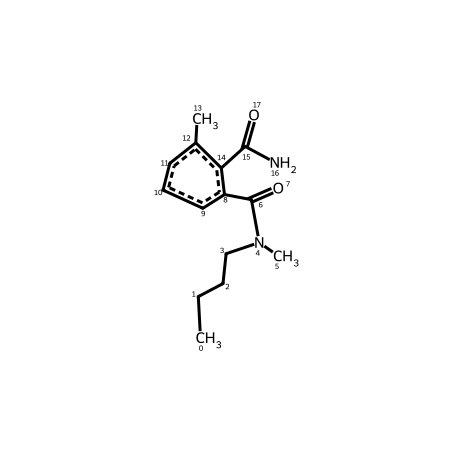 CCCCN(C)C(=O)c1cccc(C)c1C(N)=O